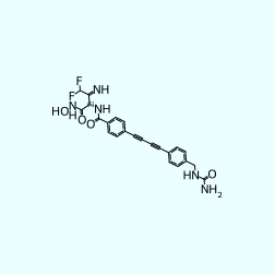 N=C(C(F)F)[C@H](NC(=O)c1ccc(C#CC#Cc2ccc(CNC(N)=O)cc2)cc1)C(=O)NO